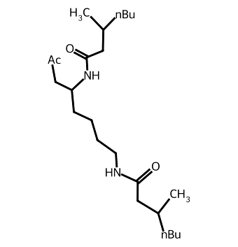 CCCCC(C)CC(=O)NCCCCC(CC(C)=O)NC(=O)CC(C)CCCC